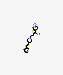 CCc1c(CCN2CCC(c3cc4ccccc4s3)CC2)sc2c1CCN(C(C)=O)C2